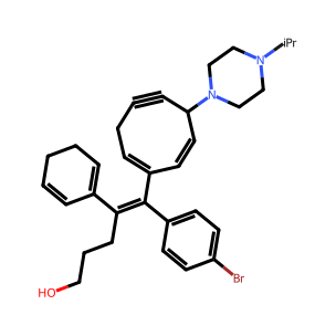 CC(C)N1CCN(C2C#CC/C=C(/C(=C(/CCCO)C3=CCCC=C3)c3ccc(Br)cc3)\C=C/2)CC1